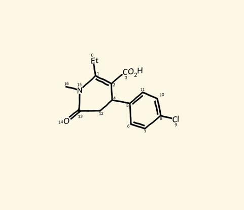 CCC1=C(C(=O)O)C(c2ccc(Cl)cc2)CC(=O)N1C